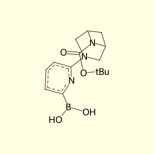 CC(C)(C)OC(=O)N1C2CC1CN(c1cccc(B(O)O)n1)C2